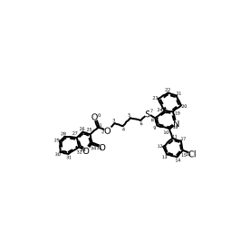 O=C(OCCCCSc1cc(-c2cccc(Cl)c2)nc2ccccc12)c1cc2ccccc2oc1=O